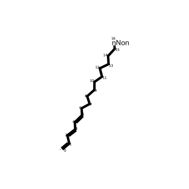 [CH]=CC=CC=CCCCCCCCCCCCCCCCCCCC